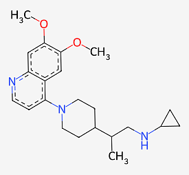 COc1cc2nccc(N3CCC(C(C)CNC4CC4)CC3)c2cc1OC